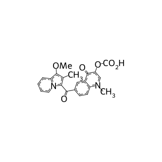 COc1c(C)c(C(=O)c2ccc3c(c2)c(=O)c(OC(=O)O)cn3C)n2ccccc12